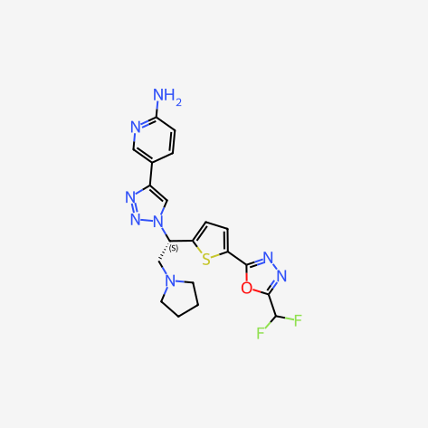 Nc1ccc(-c2cn([C@@H](CN3CCCC3)c3ccc(-c4nnc(C(F)F)o4)s3)nn2)cn1